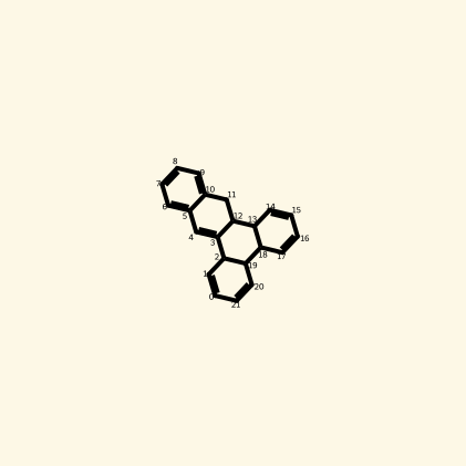 C1=CC2C3=Cc4ccccc4CC3C3C=CC=CC3C2C=C1